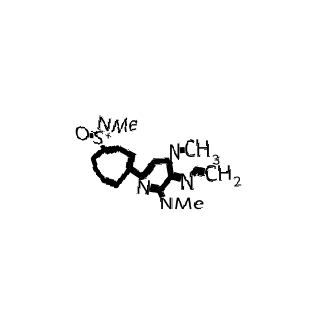 C=C/N=C1/C(NC)=NC(C2=C/C=C(/[S+]([O-])NC)CC/C=C\2)=C/C1=N/C